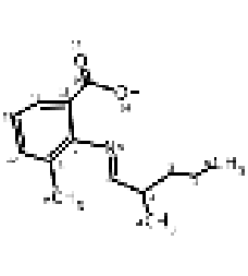 CCCC(C)/C=N/c1c(C)cccc1C(=O)O